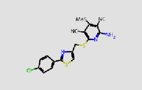 [C-]#[N+]c1c(N)nc(SCc2csc(-c3ccc(Cl)cc3)n2)c(C#N)c1SC